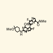 CNC(=O)c1cnc2c(F)cc(-c3c(F)cn4nc(N[C@H]5CC[C@](C)(OC)CC5)nc(OC)c34)cn12